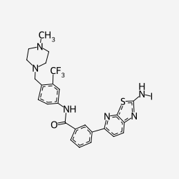 CN1CCN(Cc2ccc(NC(=O)c3cccc(-c4ccc5nc(NI)sc5n4)c3)cc2C(F)(F)F)CC1